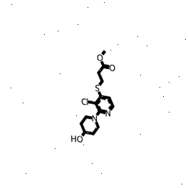 COC(=O)CCSc1ccnc(N2CCC(O)CC2)c1Cl